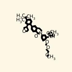 COCCOCOc1ccc(N2CCc3cc(-c4ccc(C(C)(C)C)cc4C4CCOC4)ccc3C2=O)cc1NS(C)(=O)=O